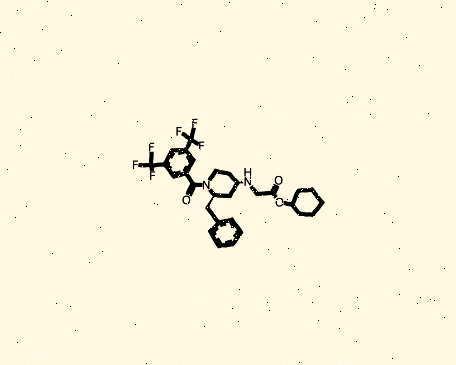 O=C(CN[C@H]1CCN(C(=O)c2cc(C(F)(F)F)cc(C(F)(F)F)c2)[C@H](Cc2ccccc2)C1)OC1CCCCC1